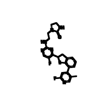 Cc1cnc(F)cc1-c1cccc2c1SC(c1nc(NCCN3CCNC3=O)ncc1F)C2